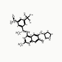 Cc1nc(N[C@H](C)c2cc([N+](=O)[O-])cc(C(F)(F)F)c2)c2cc(O[C@H]3CCOC3)c(Br)cc2n1